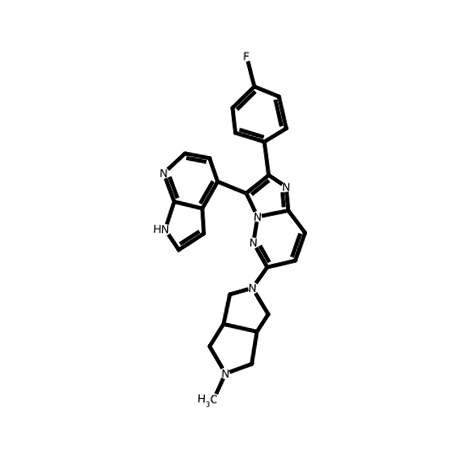 CN1CC2CN(c3ccc4nc(-c5ccc(F)cc5)c(-c5ccnc6[nH]ccc56)n4n3)CC2C1